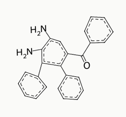 Nc1cc(C(=O)c2ccccc2)c(-c2ccccc2)c(-c2ccccc2)c1N